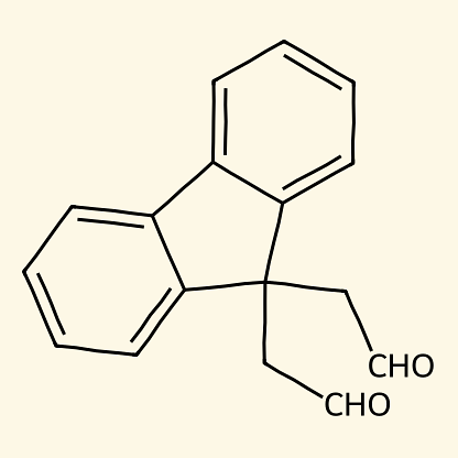 O=CCC1(CC=O)c2ccccc2-c2ccccc21